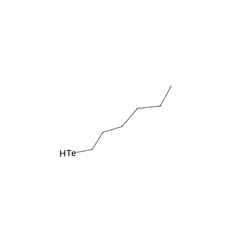 CCCCCC[TeH]